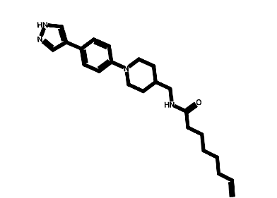 C=CCCCCCC(=O)NCC1CCN(c2ccc(-c3cn[nH]c3)cc2)CC1